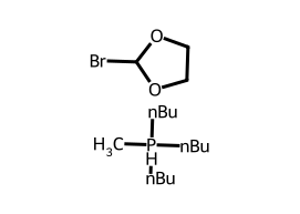 BrC1OCCO1.CCCC[PH](C)(CCCC)CCCC